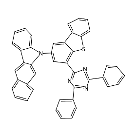 c1ccc(-c2nc(-c3ccccc3)nc(-c3cc(-n4c5ccccc5c5cc6ccccc6cc54)cc4c3sc3ccccc34)n2)cc1